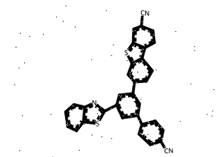 N#Cc1ccc(-c2cc(-c3ccc4c(c3)sc3cc(C#N)ccc34)cc(-c3nc4ccccc4s3)c2)cc1